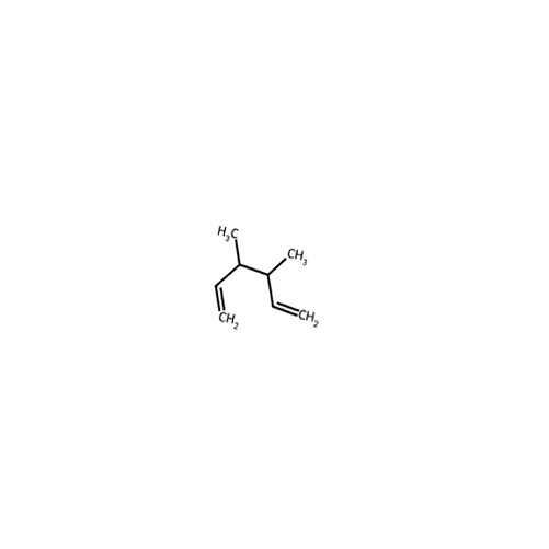 C=CC(C)C(C)C=C